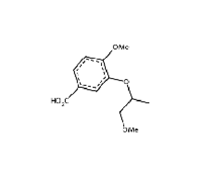 COCC(C)Oc1cc(C(=O)O)ccc1OC